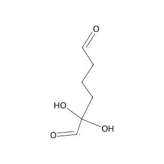 O=[C]C(O)(O)CCCC=O